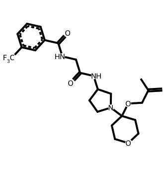 C=C(C)COC1(N2CCC(NC(=O)CNC(=O)c3cccc(C(F)(F)F)c3)C2)CCOCC1